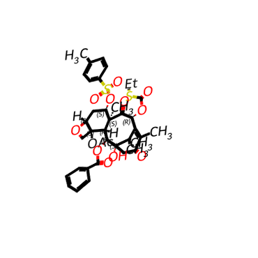 CCSC(=O)O[C@H]1C(=O)[C@]2(C)[C@@H](OS(=O)(=O)c3ccc(C)cc3)C[C@H]3OC[C@@]3(OC(C)=O)[C@H]2[C@H](OC(=O)c2ccccc2)[C@]2(O)CC(=O)C(C)=C1C2(C)C